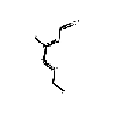 CCC=CC(C)=CC=O